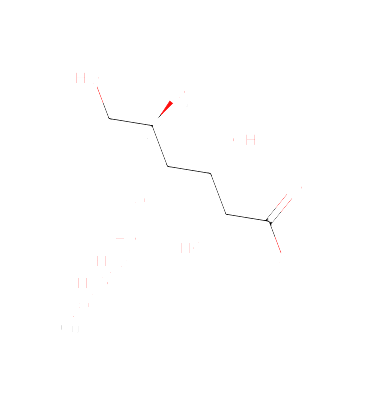 O.O.O.O.O=C(O)[C@H](O)[C@@H](O)[C@H](O)[C@H](O)CO.[Cu]